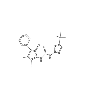 Cc1c(NC(=O)Nc2cc(C(C)(C)C)on2)c(=O)n(-c2ccccc2)n1C